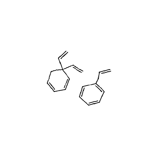 C=CC1(C=C)C=CC=CC1.C=Cc1ccccc1